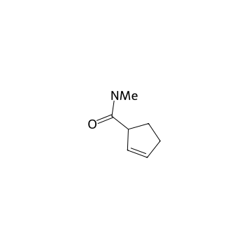 CNC(=O)C1C=CCC1